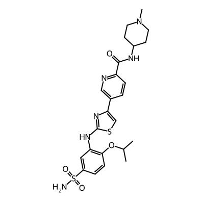 CC(C)Oc1ccc(S(N)(=O)=O)cc1Nc1nc(-c2ccc(C(=O)NC3CCN(C)CC3)nc2)cs1